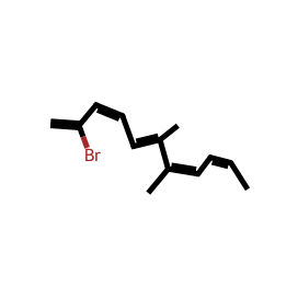 C=C(Br)\C=C/C=C(C)/C(C)=C\C=C/C